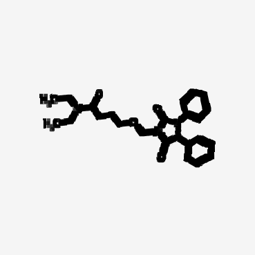 CCN(CC)C(=O)CCCOCN1C(=O)C(c2ccccc2)N(c2ccccc2)C1=O